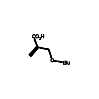 C=C(COC(C)(C)C)C(=O)O